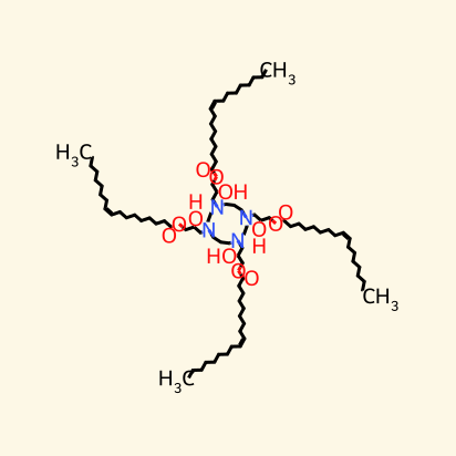 CCCCCCCC/C=C\CCCCCCCC(=O)OCC(O)CN1CCCN(CC(O)COC(=O)CCCCCCC/C=C\CCCCCCCC)CCN(CC(O)COC(=O)CCCCCCC/C=C\CCCCCCCC)CCCN(CC(O)COC(=O)CCCCCCC/C=C\CCCCCCCC)CC1